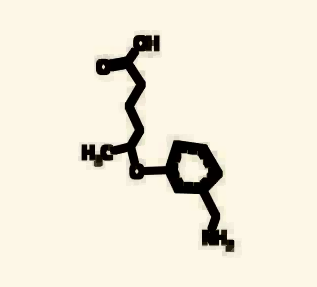 CC(CCCC(=O)O)Oc1cccc(CN)c1